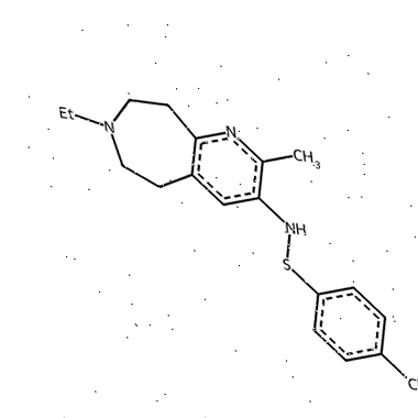 CCN1CCc2cc(NSc3ccc(Cl)cc3)c(C)nc2CC1